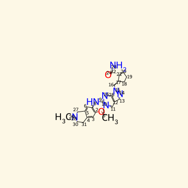 COc1cc2c(cc1Nc1ncc3cnn(C[C@@H]4CCC[C@H]4C(N)=O)c3n1)CN(C)CC2